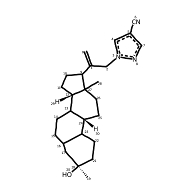 C=C(Cn1cc(C#N)cn1)C1CC[C@H]2C3CCC4C[C@](C)(O)CCC4[C@H]3CCC12C